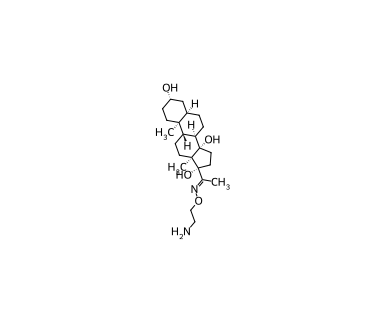 C/C(=N\OCCN)[C@]1(O)CC[C@]2(O)[C@@H]3CC[C@@H]4C[C@@H](O)CC[C@]4(C)[C@H]3CC[C@]12C